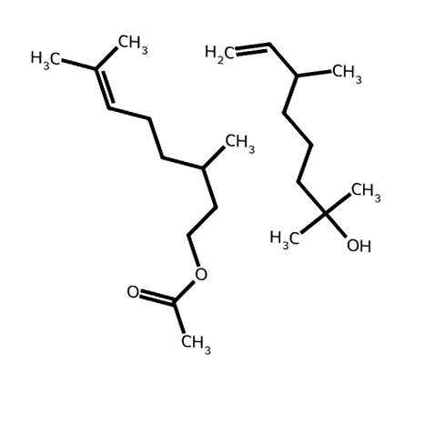 C=CC(C)CCCC(C)(C)O.CC(=O)OCCC(C)CCC=C(C)C